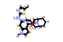 C=CC(=O)N1C2C=C(c3nc(Nc4ncc(C)s4)cc4c3ccn4C)CC1CCC2